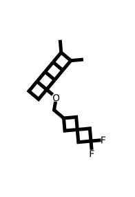 CC1C(C)C2C1C1C3CCC3(OCC3CC4(C3)CC(F)(F)C4)C21